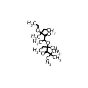 CCOC(C)(CC)C(=O)C(C)OC(C)(CC)C(=O)C(C)(C)C